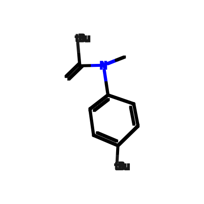 C=C(N(C)c1ccc(C(C)(C)C)cc1)C(C)(C)C